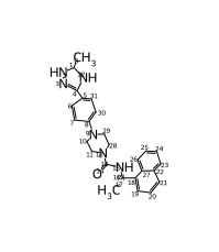 CC1NN=C(c2ccc(N3CCN(C(=O)N[C@@H](C)c4cccc5ccccc45)CC3)cc2)N1